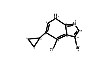 Clc1c(C2CC2)c[nH]c2ncc(Br)c1-2